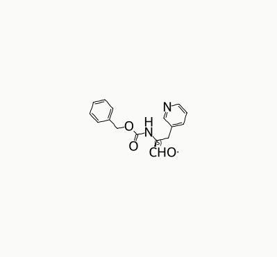 O=[C][C@H](Cc1cccnc1)NC(=O)OCc1ccccc1